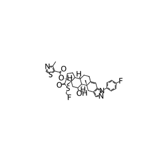 Cc1ncsc1C(=O)O[C@]1(C(=O)SCF)CC[C@H]2[C@@H]3CCC4=Cc5c(cnn5-c5ccc(F)cc5)C[C@]4(C)[C@H]3[C@@H](O)C[C@@]21C